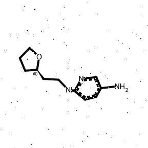 Nc1ccc(NCC[C@H]2CCCO2)nc1